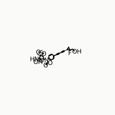 C[C@@](CCn1c(=O)oc2cc(C#CC#C[C@H]3C[C@]3(F)CO)ccc21)(C(=O)NO)S(C)(=O)=O